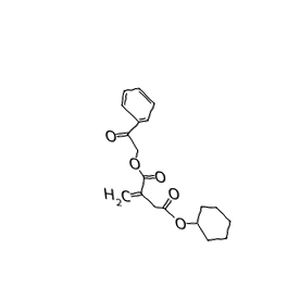 C=C(CC(=O)OC1CCCCC1)C(=O)OCC(=O)c1ccccc1